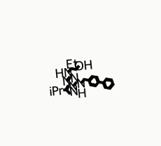 CCC(CO)Nc1nc(NCc2ccc(-c3ccccc3)cc2)n2ncc(C(C)C)c2n1